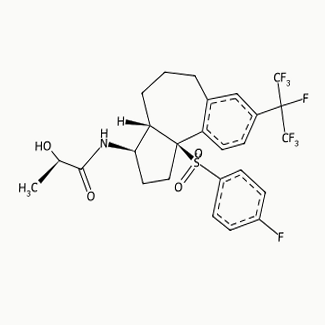 C[C@@H](O)C(=O)N[C@@H]1CC[C@@]2(S(=O)(=O)c3ccc(F)cc3)c3ccc(C(F)(C(F)(F)F)C(F)(F)F)cc3CCC[C@@H]12